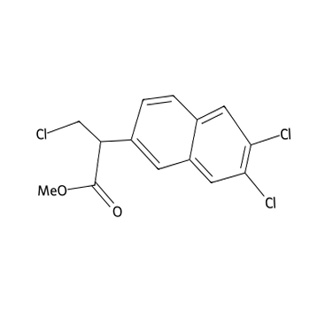 COC(=O)C(CCl)c1ccc2cc(Cl)c(Cl)cc2c1